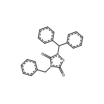 O=c1sn(C(c2ccccc2)c2ccccc2)c(=O)n1Cc1ccccc1